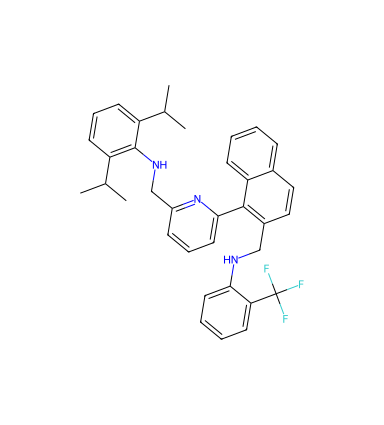 CC(C)c1cccc(C(C)C)c1NCc1cccc(-c2c(CNc3ccccc3C(F)(F)F)ccc3ccccc23)n1